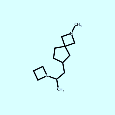 CC(CC1CCC2(C1)CN(C)C2)N1CCC1